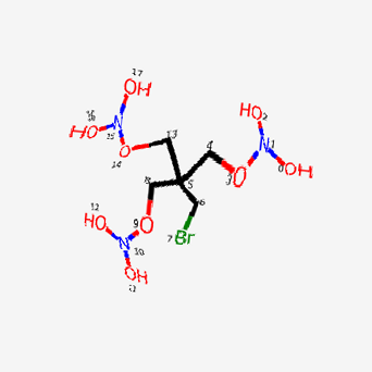 ON(O)OCC(CBr)(CON(O)O)CON(O)O